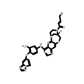 Cc1cc(Nc2ncnc3cc4c(nc23)N2CCN(C(=O)/C=C/CBr)[C@H](CO4)C2)ccc1Oc1ccn2ncnc2c1